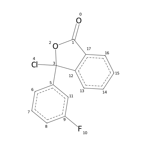 O=C1OC(Cl)(c2cccc(F)c2)c2ccccc21